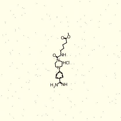 COC(=O)CCCCNC(=O)N1CCN(c2ccc(C(=N)N)cc2)CC1.Cl